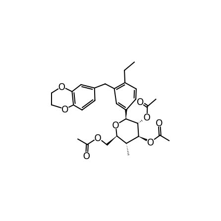 CCc1ccc([C@@H]2O[C@H](COC(C)=O)[C@@H](C)[C@H](OC(C)=O)[C@H]2OC(C)=O)cc1Cc1ccc2c(c1)OCCO2